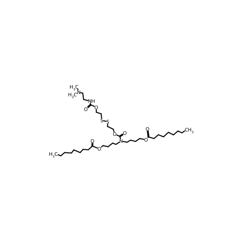 CCCCCCCCC(=O)OCCCCN(CCCCOC(=O)CCCCCCCC)C(=O)OCCSSCCOC(=O)NCCN(C)C